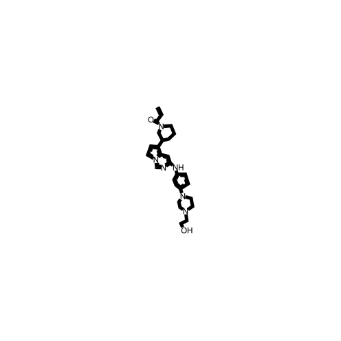 C=CC(=O)N1CCCC(c2ccn3cnc(Nc4ccc(N5CCN(CCO)CC5)cc4)cc23)C1